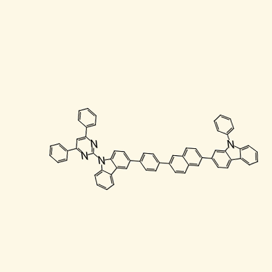 c1ccc(-c2cc(-c3ccccc3)nc(-n3c4ccccc4c4cc(-c5ccc(-c6ccc7cc(-c8ccc9c%10ccccc%10n(-c%10ccccc%10)c9c8)ccc7c6)cc5)ccc43)n2)cc1